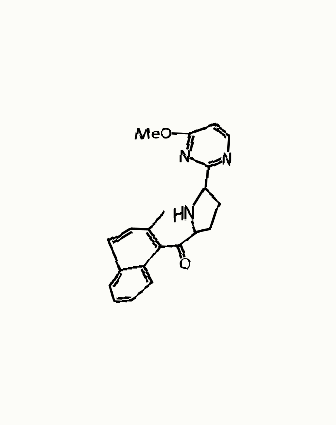 COc1ccnc(C2CCC(C(=O)c3c(C)ccc4ccccc34)N2)n1